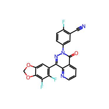 N#Cc1cc(-n2nc(-c3cc4c(c(F)c3F)OCO4)c3ncccc3c2=O)ccc1F